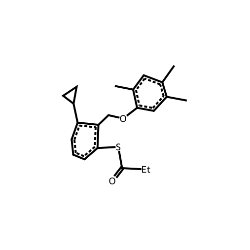 CCC(=O)Sc1cccc(C2CC2)c1COc1cc(C)c(C)cc1C